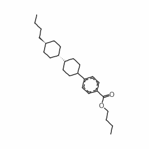 CCCCOC(=O)c1ccc(C2CCC([C@H]3CC[C@H](CCCC)CC3)CC2)cc1